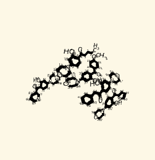 CCCCC(=O)c1ccc(N2CCOCC2)cc1O.COc1ccc(C(=O)c2ccc(N3CCOCC3)cc2O)cc1.O=C(Cc1ccccc1)c1ccc(N2CCOCC2)cc1O.O=C(c1cccnc1)c1ccc(N2CCOCC2)cc1O.O=C(c1cccs1)c1ccc(N2CCOCC2)cc1O